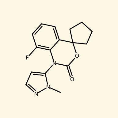 Cn1nccc1N1C(=O)OC2(CCCC2)c2cccc(F)c21